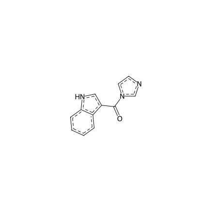 O=C(c1c[nH]c2ccccc12)n1ccnc1